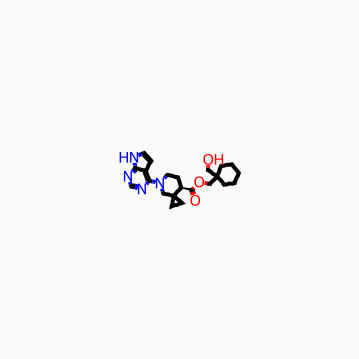 O=C(OCC1(CO)CCCCC1)[C@@H]1CCN(c2ncnc3[nH]ccc23)CC12CC2